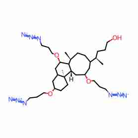 C[C@H](CCCO)C1CC[C@H](C)C2[C@H](OCCCN=[N+]=[N-])CC3C[C@H](OCCCN=[N+]=[N-])CC[C@]3(C)[C@H]2C[C@H](OCCCN=[N+]=[N-])C1